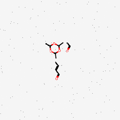 C/C=C/C=O.CC1OC(C)OC(C)O1.CC=O